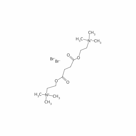 C[N+](C)(C)CCOC(=O)CCC(=O)OCC[N+](C)(C)C.[Br-].[Br-]